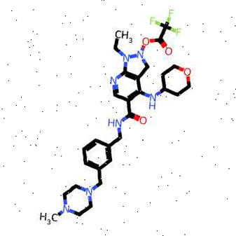 CCN1c2ncc(C(=O)NCc3cccc(CN4CCN(C)CC4)c3)c(NC3CCOCC3)c2CN1OC(=O)C(F)(F)F